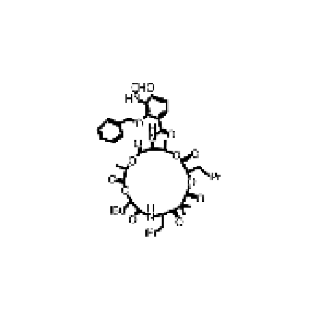 CCC(C)C1OC(=O)C(C)OC(=O)C(NC(=O)c2cccc(NC=O)c2OCc2ccccc2)C(C)OC(=O)C(CC(C)C)OC(=O)C(C)(C)C(=O)C(CC(C)C)NC1=O